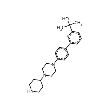 CC(C)(O)c1cccc(-c2[c]cc(N3CCN(C4CCNCC4)CC3)cc2)n1